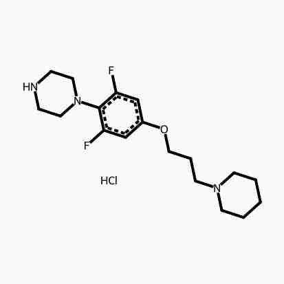 Cl.Fc1cc(OCCCN2CCCCC2)cc(F)c1N1CCNCC1